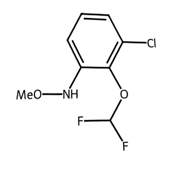 CONc1cccc(Cl)c1OC(F)F